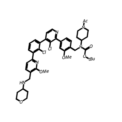 COc1cc(-c2nccc(-c3cccc(-c4ccc(CNC5CCOCC5)c(OC)n4)c3Cl)c2Cl)ccc1CN(C(=O)OC(C)(C)C)C1CCN(C(C)=O)CC1